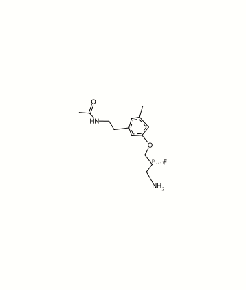 CC(=O)NCCc1cc(C)cc(OC[C@H](F)CN)c1